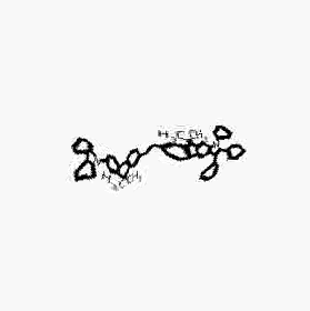 CC1(C)c2cc(/C=C/c3ccc4c(c3)C(C)(C)c3cc5c(cc3-4)c(-c3ccccc3)c(-c3ccccc3)n5-c3ccccc3)ccc2-c2ccc(-n3c4ccccc4c4ccccc43)cc21